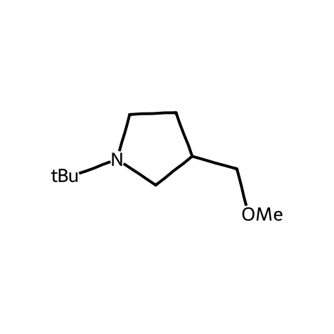 COCC1CCN(C(C)(C)C)C1